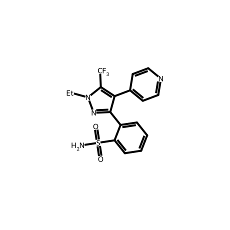 CCn1nc(-c2ccccc2S(N)(=O)=O)c(-c2ccncc2)c1C(F)(F)F